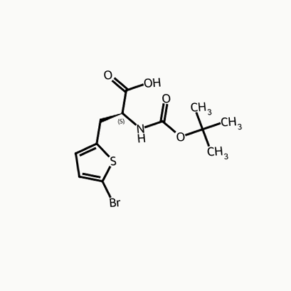 CC(C)(C)OC(=O)N[C@@H](Cc1ccc(Br)s1)C(=O)O